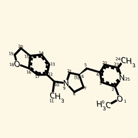 COc1cc(C[C@H]2CCN(C(C)c3ccc4c(c3)OCC4)C2)cc(C)n1